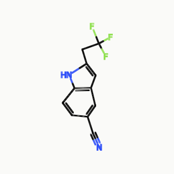 N#Cc1ccc2[nH]c(CC(F)(F)F)cc2c1